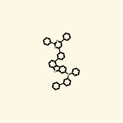 c1ccc(-c2cccc(N(c3ccccc3)c3ccc4c(c3)oc3cccc(-c5cccc(-c6cc(-c7ccccc7)nc(-c7ccccc7)n6)c5)c34)c2)cc1